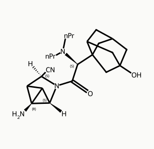 CCCN(CCC)[C@H](C(=O)N1[C@H](C#N)C2C3[C@H]1[C@]23N)C12CC3CC1CC(O)(C3)C2